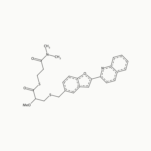 COC(CSCc1ccc2oc(-c3ccc4ccccc4n3)cc2c1)C(=O)SCCC(=O)N(C)C